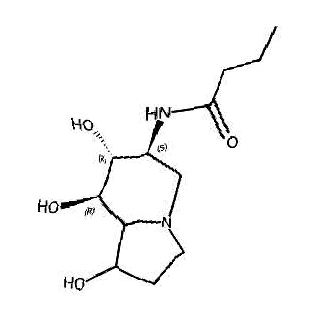 CCCC(=O)N[C@H]1CN2CCC(O)C2[C@@H](O)[C@@H]1O